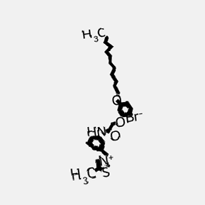 CCCCCCCCCCCCOc1cccc(OCC(=O)Nc2cccc(C[n+]3csc(C)c3)c2)c1.[Br-]